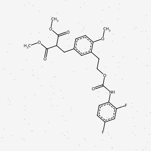 COC(=O)C(Cc1ccc(OC)c(CCOC(=O)Nc2ccc(F)cc2F)c1)C(=O)OC